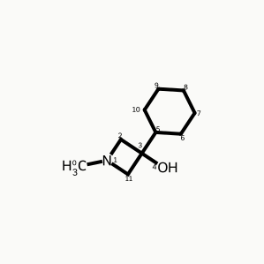 CN1CC(O)(C2CCCCC2)C1